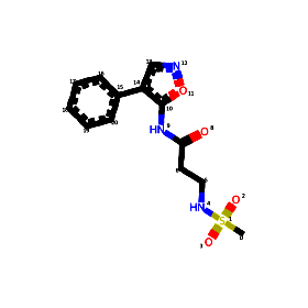 CS(=O)(=O)NCCC(=O)Nc1oncc1-c1ccccc1